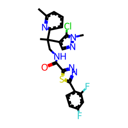 Cc1cccc(C(C)(CNC(=O)c2nnc(-c3ccc(F)cc3F)s2)c2cnn(C)c2Cl)n1